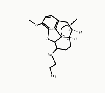 COc1ccc2c3c1OC1C(NCCO)CC[C@@H]4[C@H](C2)N(C)CC[C@@]314